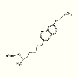 C=CCOc1ccc2cc(C=CCCCC(C)OCCCCC)ccc2c1